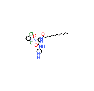 CCCCCCCCCCCC(=O)n1cc(NC(=O)c2c(Cl)cccc2Cl)c(C(=O)NC2CCNCC2)n1